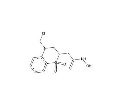 O=C(CC1CN(CCl)c2ccccc2S1(=O)=O)NO